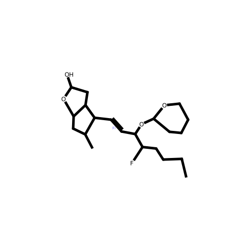 CCCCC(F)C(/C=C/C1C(C)CC2OC(O)CC21)OC1CCCCO1